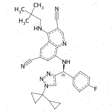 CC(C)(C)CNc1c(C#N)cnc2c(N[C@@H](c3ccc(F)cc3)c3cn(C4(C5CC5)CC4)nn3)cc(C#N)cc12